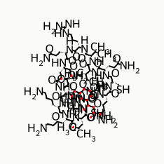 CC[C@H](C)[C@H](NC(=O)[C@H](CCC(N)=O)NC(=O)[C@H](CS)NC(=O)[C@H](CCCCN)NC(=O)[C@H](CC(N)=O)NC(=O)[C@H](CO)NC(=O)[C@H](CS)NC(=O)[C@H](CC(C)C)NC(=O)[C@H](CCCCN)NC(=O)[C@H](CCCCN)NC(=O)[C@H](CCC(N)=O)NC(=O)[C@H](CC(=O)O)NC(=O)[C@@H](N)CC(N)=O)C(=O)N[C@H](C(=O)N[C@@H](CCCNC(=N)N)C(=O)N[C@@H](CCC(N)=O)C(=O)N[C@@H](CCC(N)=O)C(=O)O)C(C)C